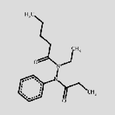 CCCCC(=O)N(CC)N(C(=O)CC)c1ccccc1